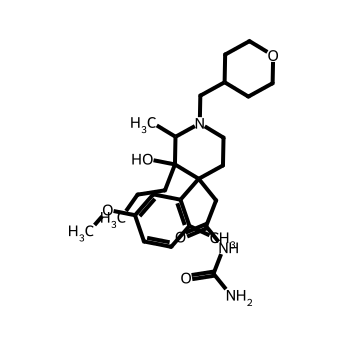 CCCC1(O)C(C)N(CC2CCOCC2)CCC1(CC(=O)NC(N)=O)c1cc(OC)ccc1C